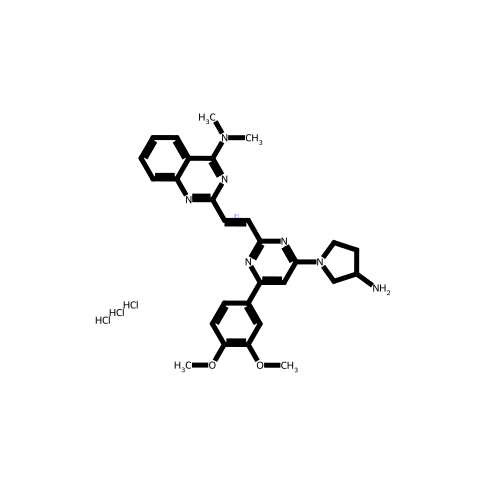 COc1ccc(-c2cc(N3CCC(N)C3)nc(/C=C/c3nc(N(C)C)c4ccccc4n3)n2)cc1OC.Cl.Cl.Cl